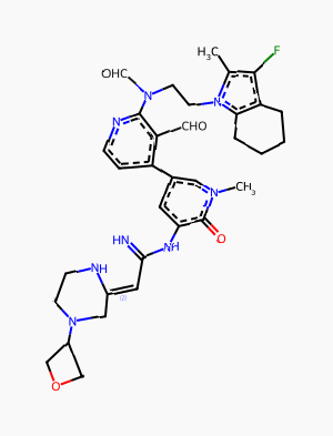 Cc1c(F)c2c(n1CCN(C=O)c1nccc(-c3cc(NC(=N)/C=C4/CN(C5COC5)CCN4)c(=O)n(C)c3)c1C=O)CCCC2